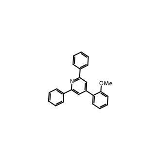 COc1ccccc1-c1cc(-c2ccccc2)nc(-c2ccccc2)c1